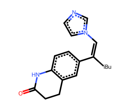 CCC(C)/C(=C/n1ccnc1)c1ccc2c(c1)CCC(=O)N2